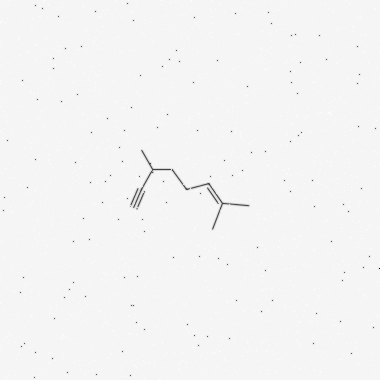 C#C[C](C)CCC=C(C)C